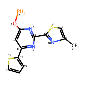 FC(F)(F)c1csc(-c2nc(OP)cc(-c3cccs3)n2)n1